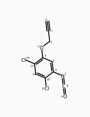 C#CCOc1cc(N=C=O)c(Cl)cc1Cl